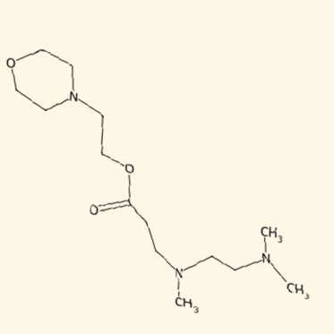 CN(C)CCN(C)CCC(=O)OCCN1CCOCC1